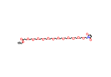 CC(C)(C)OC(=O)CCOCCOCCOCCOCCOCCOCCOCCOCCOCCOCCOCCOCCN1C(=O)C=CC1=O